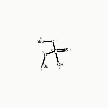 CCCCOP(O)(=S)OCCCC